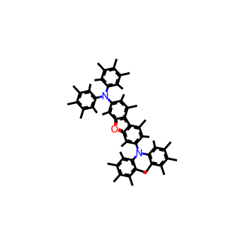 Cc1c(C)c(C)c(N(c2c(C)c(C)c(C)c(C)c2C)c2c(C)c(C)c3c(oc4c(C)c(N(c5c(C)c(C)c(C)c(C)c5C)c5c(C)c(C)c(C)c(C)c5C)c(C)c(C)c43)c2C)c(C)c1C